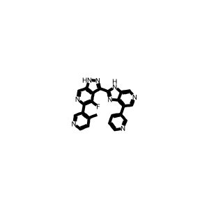 Cc1ccncc1-c1ncc2[nH]nc(-c3nc4c(-c5cccnc5)cncc4[nH]3)c2c1F